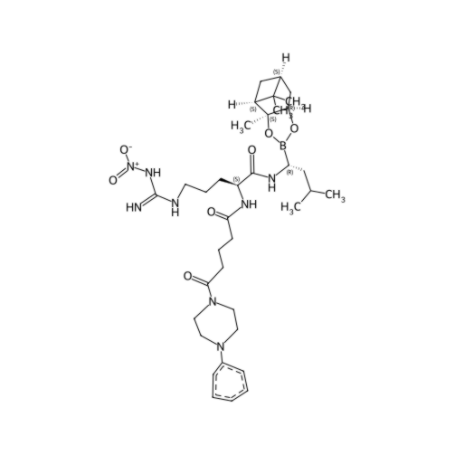 CC(C)C[C@H](NC(=O)[C@H](CCCNC(=N)N[N+](=O)[O-])NC(=O)CCCC(=O)N1CCN(c2ccccc2)CC1)B1O[C@@H]2C[C@@H]3C[C@@H](C3(C)C)[C@]2(C)O1